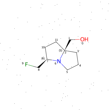 OC[C@@]12CCCN1[C@@H](CF)CC2